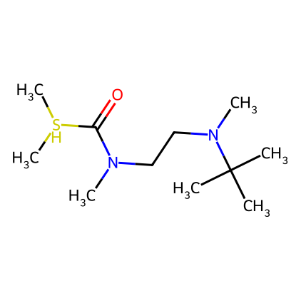 CN(CCN(C)C(C)(C)C)C(=O)[SH](C)C